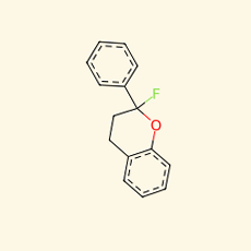 FC1(c2ccccc2)CCc2ccccc2O1